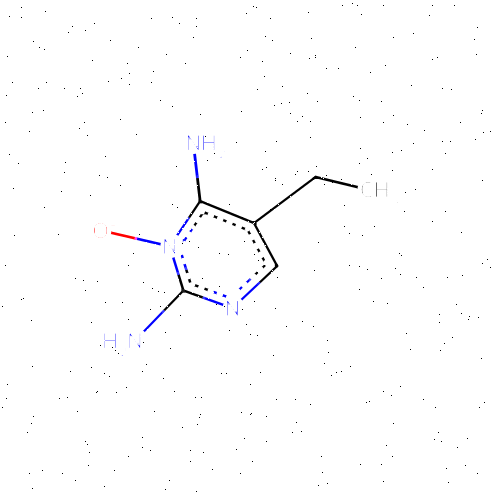 CCc1cnc(N)[n+]([O-])c1N